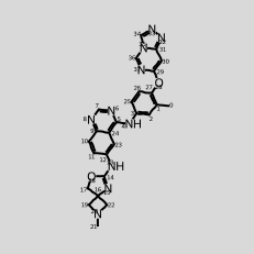 Cc1cc(Nc2ncnc3ccc(NC4=NC5(CO4)CN(C)C5)cc23)ccc1Oc1cc2nncn2cn1